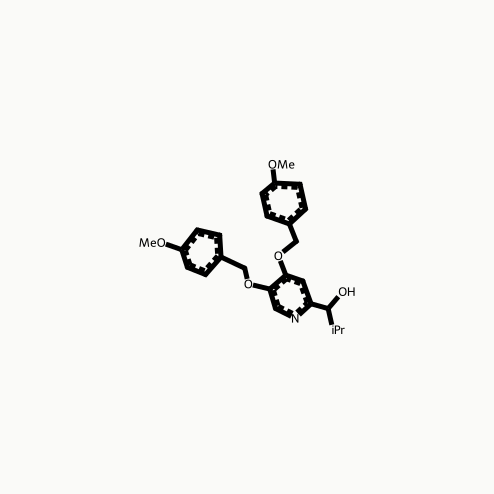 COc1ccc(COc2cnc(C(O)C(C)C)cc2OCc2ccc(OC)cc2)cc1